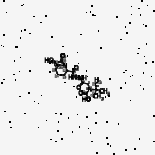 CC(C)(C)N(CC(=O)NNC(=O)C1CCC2CN1C(=O)N2O)C(=O)O